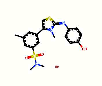 Br.Cc1cc(-c2cs/c(=N/c3ccc(O)cc3)n2C)cc(S(=O)(=O)N(C)C)c1